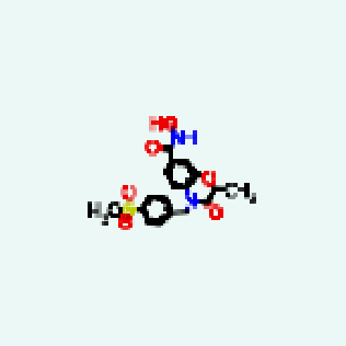 CC1Oc2cc(C(=O)NO)ccc2N(Cc2ccc(S(C)(=O)=O)cc2)C1=O